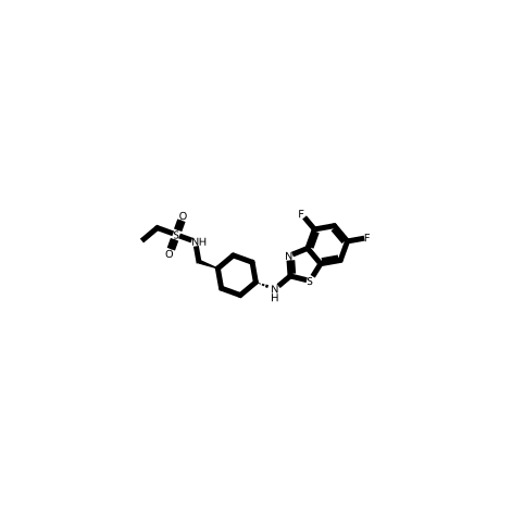 CCS(=O)(=O)NC[C@H]1CC[C@H](Nc2nc3c(F)cc(F)cc3s2)CC1